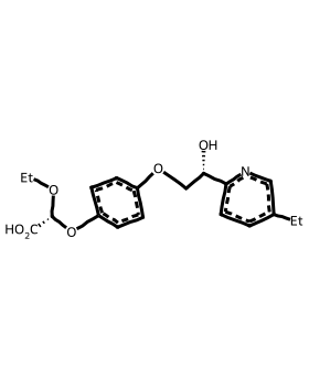 CCO[C@H](Oc1ccc(OC[C@H](O)c2ccc(CC)cn2)cc1)C(=O)O